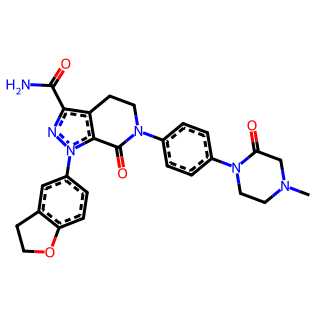 CN1CCN(c2ccc(N3CCc4c(C(N)=O)nn(-c5ccc6c(c5)CCO6)c4C3=O)cc2)C(=O)C1